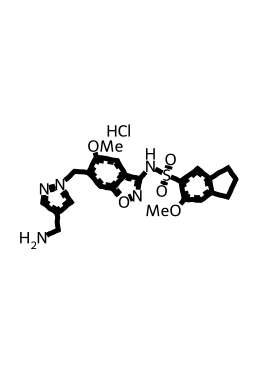 COc1cc2c(NS(=O)(=O)c3cc4c(cc3OC)CCC4)noc2cc1Cn1cc(CN)cn1.Cl